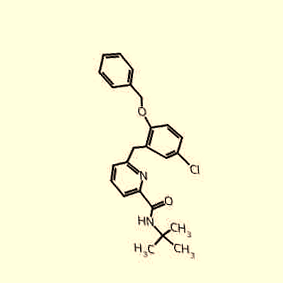 CC(C)(C)NC(=O)c1cccc(Cc2cc(Cl)ccc2OCc2ccccc2)n1